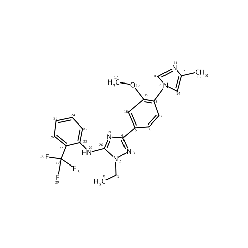 CCn1nc(-c2ccc(-n3cnc(C)c3)c(OC)c2)nc1Nc1ccccc1C(F)(F)F